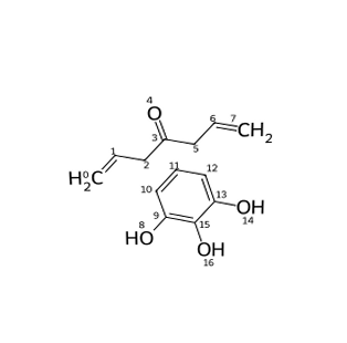 C=CCC(=O)CC=C.Oc1cccc(O)c1O